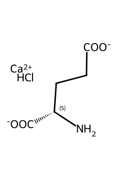 Cl.N[C@@H](CCC(=O)[O-])C(=O)[O-].[Ca+2]